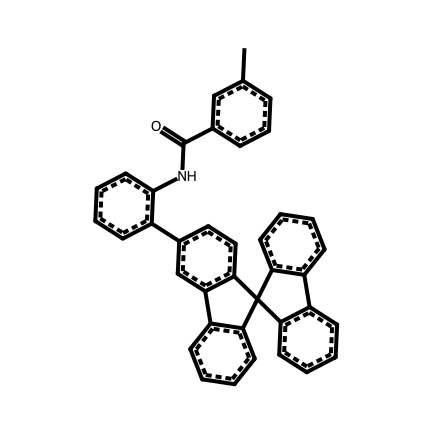 Cc1cccc(C(=O)Nc2ccccc2-c2ccc3c(c2)-c2ccccc2C32c3ccccc3-c3ccccc32)c1